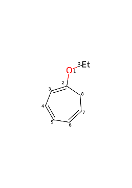 CCOC1=CC=CC=CC1